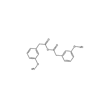 CCCOc1cccc(CC(=O)OC(=O)Cc2cccc(OCCC)c2)c1